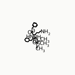 CCOC(=O)C(CP(=O)(O)C(CC1CCCCC1)NC(CCCCN)C(=O)OCc1ccccc1)C(C)C